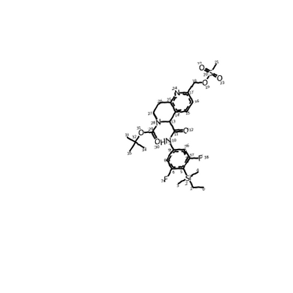 CC[Si](C)(C)c1c(F)cc(NC(=O)C2c3ccc(COS(C)(=O)=O)nc3CCN2C(=O)OC(C)(C)C)cc1F